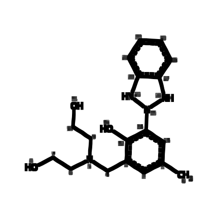 Cc1cc(CN(CCO)CCO)c(O)c(N2Nc3ccccc3N2)c1